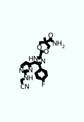 CC1(C(N)=O)COC(c2nc(-c3ccc(F)cc3)c(-c3ccnc(NCC#N)n3)[nH]2)OC1